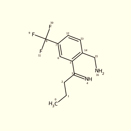 CCCC(=N)c1cc(C(F)(F)F)ccc1CN